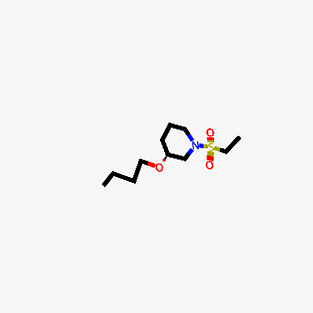 CCCCO[C@@H]1CCCN(S(=O)(=O)CC)C1